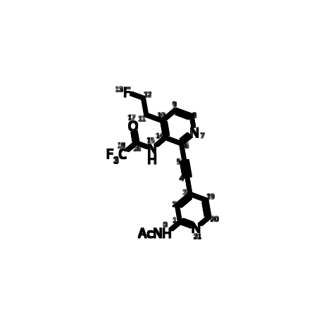 CC(=O)Nc1cc(C#Cc2nccc(CCF)c2NC(=O)C(F)(F)F)ccn1